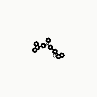 c1ccc(N(c2ccc(-c3ccc4c(c3)oc3ccc5ccccc5c34)cc2)c2ccc(-c3cc4ccccc4c4ccccc34)cc2)cc1